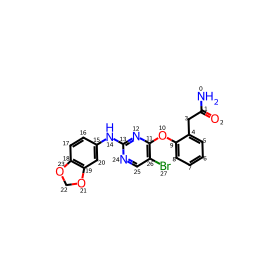 NC(=O)Cc1ccccc1Oc1nc(Nc2ccc3c(c2)OCO3)ncc1Br